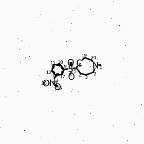 CN1CCCC(S(=O)(=O)c2[c]ccc([N+](=O)[O-])c2)CCC1